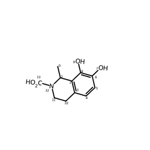 CC1c2c(ccc(O)c2O)CCN1C(=O)O